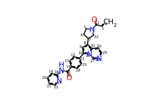 C=CC(=O)N1CCC(c2cc(-c3ccc(C(=O)Nc4ccccn4)cc3)n3cnccc23)C1